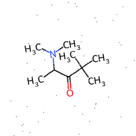 CC(C(=O)C(C)(C)C)N(C)C